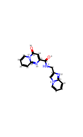 O=C(NCc1cn2ccccc2n1)c1cc(=O)n2ccccc2n1